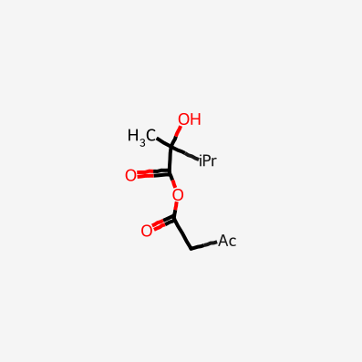 CC(=O)CC(=O)OC(=O)C(C)(O)C(C)C